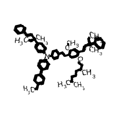 CCc1ccc(-c2ccc(N(c3ccc(C=Cc4cc(OCCC(C)CCCC(C)C)c(C=CC(C)(CC)c5ccccc5)cc4OC)cc3)c3ccc(C(C)(C=Cc4ccccc4)CC)cc3)cc2)cc1